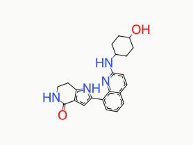 O=C1NCCc2[nH]c(-c3cccc4ccc(NC5CCC(O)CC5)nc34)cc21